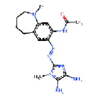 CCN1CCCCc2cc(N=Nc3nc(N)c(N)n3C)c(NC(=O)C(F)(F)F)cc21